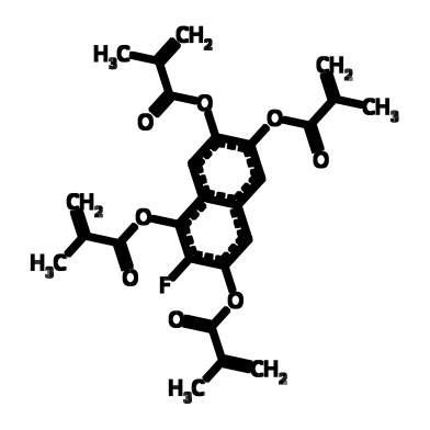 C=C(C)C(=O)Oc1cc2cc(OC(=O)C(=C)C)c(F)c(OC(=O)C(=C)C)c2cc1OC(=O)C(=C)C